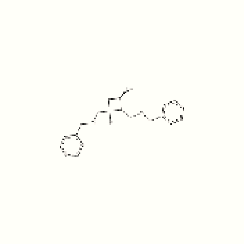 O[C@@H]1CC(F)(COCc2ccccc2)C1COCc1ccccc1